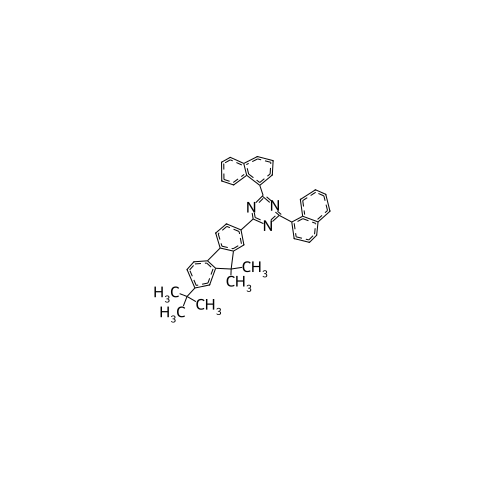 CC(C)(C)c1ccc2c(c1)C(C)(C)c1cc(-c3nc(-c4cccc5ccccc45)nc(-c4cccc5ccccc45)n3)ccc1-2